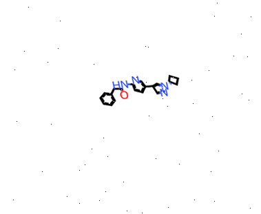 O=C(Cc1ccccc1)Nc1ccc(C2=C=[N+](C3CCC3)N=C2)cn1